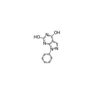 Oc1nc(O)c2cnn(-c3ccccc3)c2n1